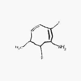 CC1C=CC(F)=C(N)C1F